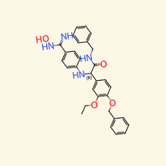 CCOc1cc([C@@H](Nc2ccc(C(=N)NO)cc2)C(=O)NCc2ccccc2)ccc1OCc1ccccc1